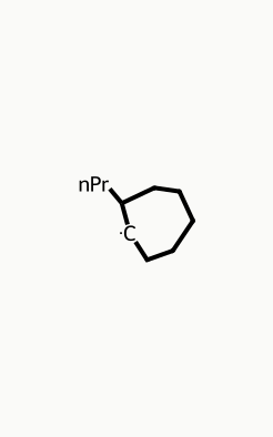 [CH2]CCC1[CH]CCCCC1